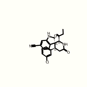 C=C(CC)[C@H]1NC(=O)C[C@@H](c2cccc(Cl)c2)[C@]12C(=O)Nc1cc(C#N)ccc12